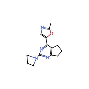 Cc1ncc(-c2nc(N3CCC3)nc3c2CCC3)o1